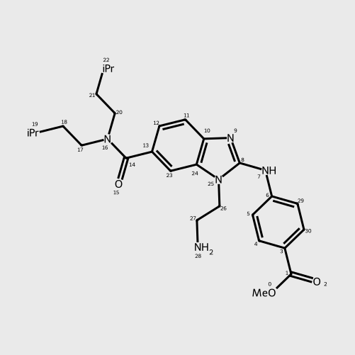 COC(=O)c1ccc(Nc2nc3ccc(C(=O)N(CCC(C)C)CCC(C)C)cc3n2CCN)cc1